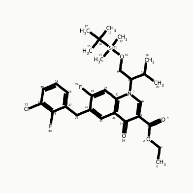 CCOC(=O)c1cn(C(CO[Si](C)(C)C(C)(C)C)C(C)C)c2cc(F)c(Cc3cccc(Cl)c3F)cc2c1=O